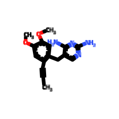 CC#Cc1cc(OC)c(OC)cc1Cc1cnc(N)nc1N